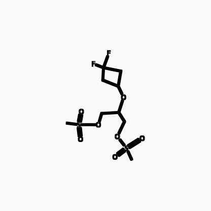 CS(=O)(=O)OCC(COS(C)(=O)=O)OC1CC(F)(F)C1